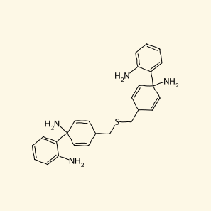 Nc1ccccc1C1(N)C=CC(CSCC2C=CC(N)(c3ccccc3N)C=C2)C=C1